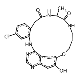 CC1NC(=O)Cc2ccc(Cl)cc2Nc2ncnc3cc(O)c(cc23)OCCCNC1=O